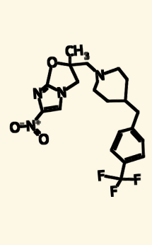 CC1(CN2CCC(Cc3ccc(C(F)(F)F)cc3)CC2)Cn2cc([N+](=O)[O-])nc2O1